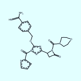 N=C(N)c1ccc(COc2nc(C3CC(=O)N3C(=O)N3CCOCC3)nn2C(=O)c2cccs2)cc1